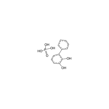 O=P(O)(O)O.Oc1cccc(-c2ccccc2)c1O